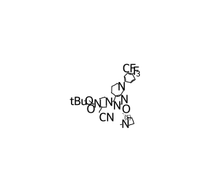 CN1CCC[C@H]1COc1nc2c(c(N3CCN(C(=O)OC(C)(C)C)C(CC#N)C3)n1)CCCN(c1ccc(F)c(C(F)(F)F)c1)C2